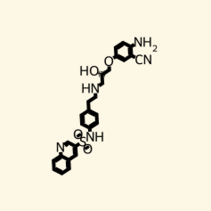 N#Cc1cc(OC[C@@H](O)CNCCc2ccc(NS(=O)(=O)c3cnc4ccccc4c3)cc2)ccc1N